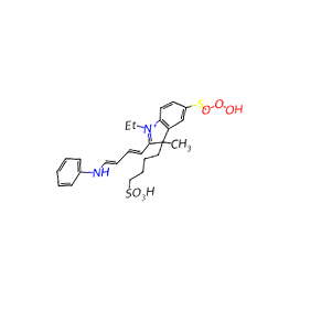 CC[N+]1=C(/C=C/C=C/Nc2ccccc2)C(C)(CCCCS(=O)(=O)O)c2cc(SOOO)ccc21